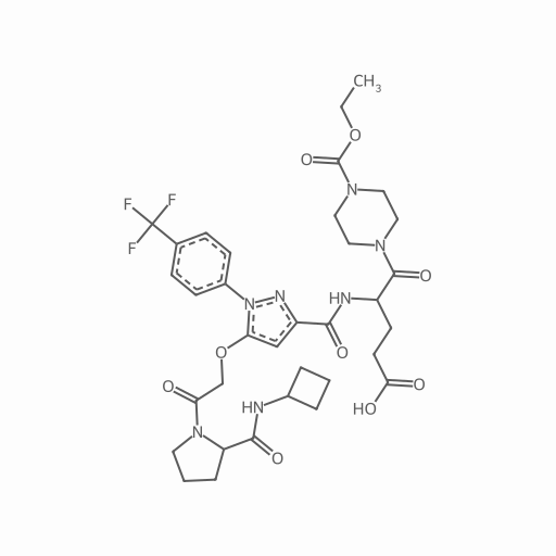 CCOC(=O)N1CCN(C(=O)C(CCC(=O)O)NC(=O)c2cc(OCC(=O)N3CCCC3C(=O)NC3CCC3)n(-c3ccc(C(F)(F)F)cc3)n2)CC1